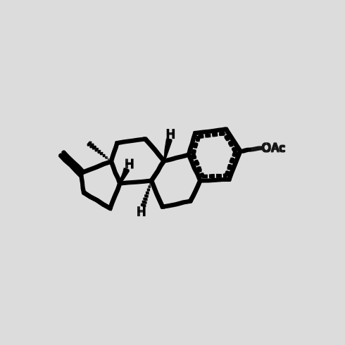 C=C1CC[C@H]2[C@@H]3CCc4cc(OC(C)=O)ccc4[C@H]3CC[C@]12C